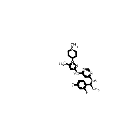 Cc1cc(Nc2cc(NC(C)c3ccc(F)cc3F)ncn2)nn1C1CCN(C)CC1